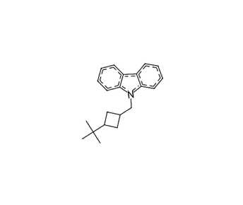 CC(C)(C)C1CC(Cn2c3ccccc3c3ccccc32)C1